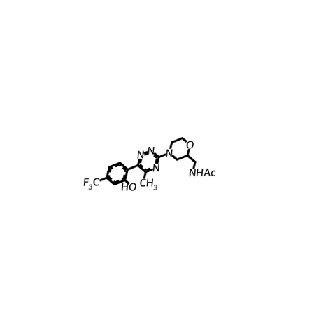 CC(=O)NCC1CN(c2nnc(-c3ccc(C(F)(F)F)cc3O)c(C)n2)CCO1